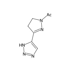 CC(=O)N1CCC(c2cnn[nH]2)=N1